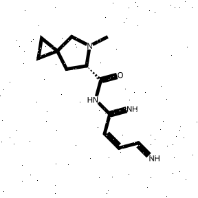 CN1CC2(CC2)C[C@H]1C(=O)NC(=N)/C=C\C=N